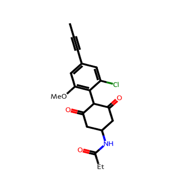 CC#Cc1cc(Cl)c(C2C(=O)CC(NC(=O)CC)CC2=O)c(OC)c1